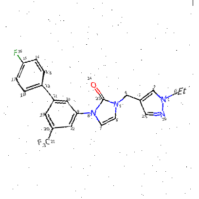 CCn1cc(Cn2ccn(-c3cc(-c4ccc(F)cc4)cc(C(F)(F)F)c3)c2=O)cn1